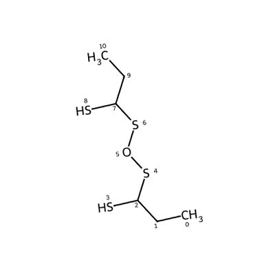 CCC(S)SOSC(S)CC